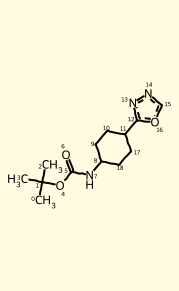 CC(C)(C)OC(=O)NC1CCC(c2nnco2)CC1